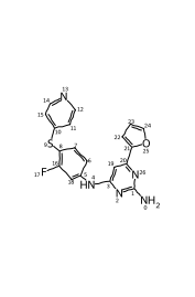 Nc1nc(Nc2ccc(Sc3ccncc3)c(F)c2)cc(-c2ccco2)n1